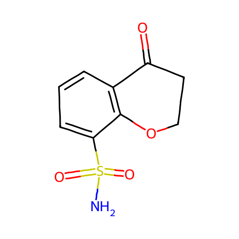 NS(=O)(=O)c1cccc2c1OCCC2=O